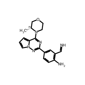 C[C@@H]1COCCN1c1nc(-c2ccc(N)c(C=N)c2)nn2cccc12